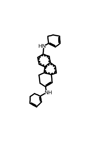 C1=CCCC(NC2=Cc3ccc4cc(NC5=CC=CCC5)ccc4c3CC2)=C1